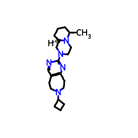 CC1CCC[C@@H]2CN(c3ncc4c(n3)CCN(C3CCC3)CC4)CCN12